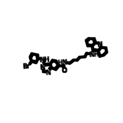 O=C(NCCCCCCNc1c2c(nc3ccccc13)CCCC2)c1ccc2c(Nc3cccc(Br)c3)ncnc2c1